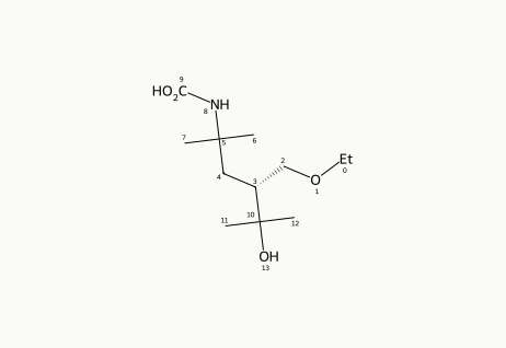 CCOC[C@@H](CC(C)(C)NC(=O)O)C(C)(C)O